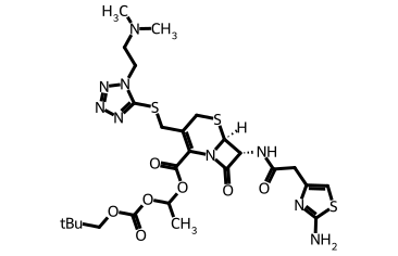 CC(OC(=O)OCC(C)(C)C)OC(=O)C1=C(CSc2nnnn2CCN(C)C)CS[C@H]2[C@H](NC(=O)Cc3csc(N)n3)C(=O)N12